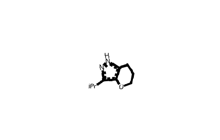 CC(C)c1n[nH]c2c1OCCC2